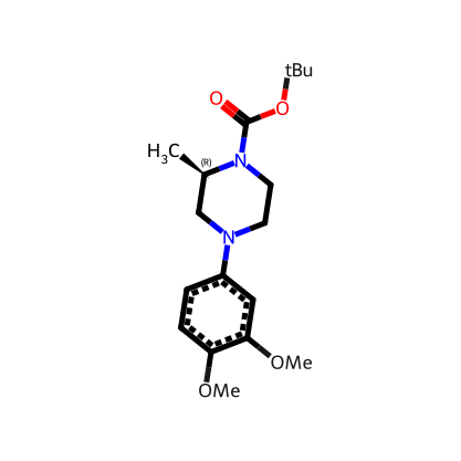 COc1ccc(N2CCN(C(=O)OC(C)(C)C)[C@H](C)C2)cc1OC